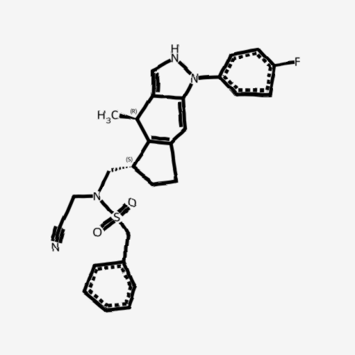 C[C@H]1C2=CNN(c3ccc(F)cc3)C2=CC2=C1[C@@H](CN(CC#N)S(=O)(=O)Cc1ccccc1)CC2